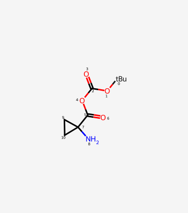 CC(C)(C)OC(=O)OC(=O)C1(N)CC1